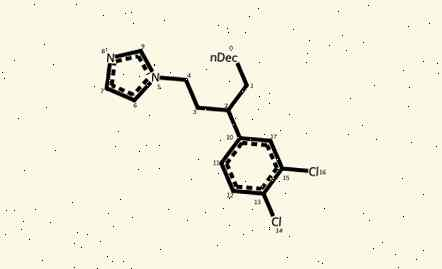 CCCCCCCCCCCC(CCn1ccnc1)c1ccc(Cl)c(Cl)c1